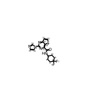 O=C(NC1CCC(F)(F)CC1)c1nc(-n2ccnc2)nc2ccsc12